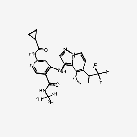 [2H]C([2H])([2H])NC(=O)c1cnc(NC(=O)C2CC2)cc1Nc1cnn2ccc(C(C)C(F)(F)F)c(OC)c12